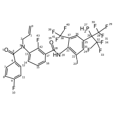 C=CCN(C(=O)c1ccc(F)cc1)c1cccc(C(=O)Nc2c(I)cc(C(P)(C(F)(F)F)C(F)(F)F)cc2C(F)(F)F)c1F